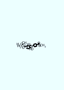 COC(=O)c1ccc(N2C[C@@H]3CN(C(=O)OC(C)(C)C)CC[C@@H]3C2=O)cc1